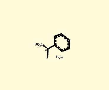 O=C(O)[C@H](F)c1ccccc1.[SeH2]